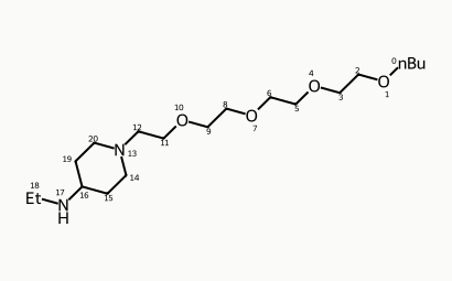 CCCCOCCOCCOCCOCCN1CCC(NCC)CC1